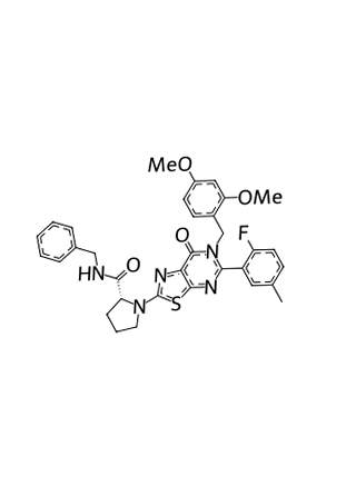 COc1ccc(Cn2c(-c3cc(C)ccc3F)nc3sc(N4CCC[C@@H]4C(=O)NCc4ccccc4)nc3c2=O)c(OC)c1